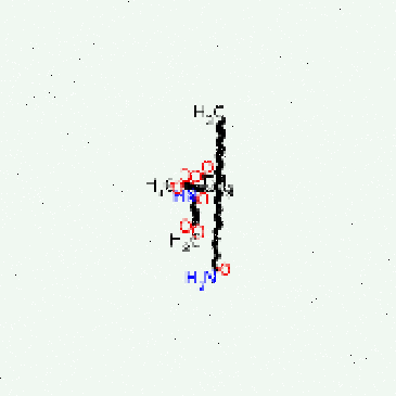 CCC(NC(=O)C=CC(=O)OC)(OC(C)=O)C(=O)OC.CCC=CCC=CCC=CCC=CCC=CCC=CCCC(N)=O